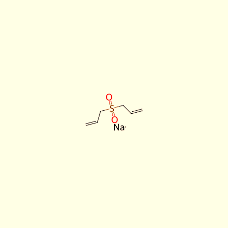 C=CCS(=O)(=O)CC=C.[Na]